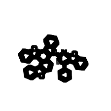 c1ccc(-c2nc(-n3c4ccccc4c4c5oc6ccccc6c5c5c(ccc6oc7ccccc7c65)c43)nc3oc4ccccc4c23)cc1